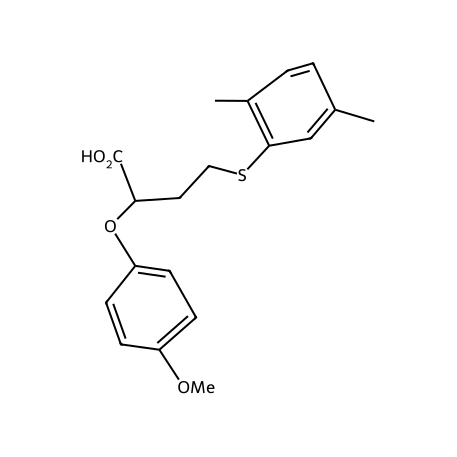 COc1ccc(OC(CCSc2cc(C)ccc2C)C(=O)O)cc1